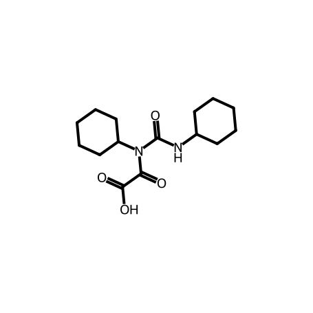 O=C(O)C(=O)N(C(=O)NC1CCCCC1)C1CCCCC1